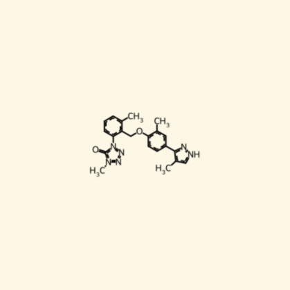 Cc1cc(-c2n[nH]cc2C)ccc1OCc1c(C)cccc1-n1nnn(C)c1=O